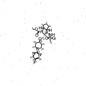 COC(=O)N1[C@@H]2CCC[C@@H]2[C@H](NS(C)(=O)=O)[C@@H]1COC1CCN(c2ncc(F)cn2)CC1